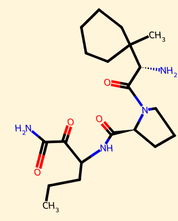 CCCC(NC(=O)[C@@H]1CCCN1C(=O)[C@@H](N)C1(C)CCCCC1)C(=O)C(N)=O